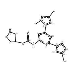 Cc1cc(C)n(-c2cc(NC(=O)CC3CCNC3)nc(-c3ccc(C)o3)n2)n1